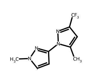 Cc1cc(C(F)(F)F)nn1-c1c[c]n(C)n1